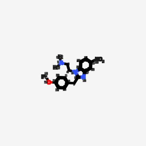 CCN(CC)CCn1c(Cc2ccc(OC(C)C)cc2)nc2cc([N+](=O)[O-])ccc21